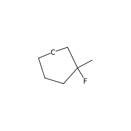 CC1(F)CCCCC1